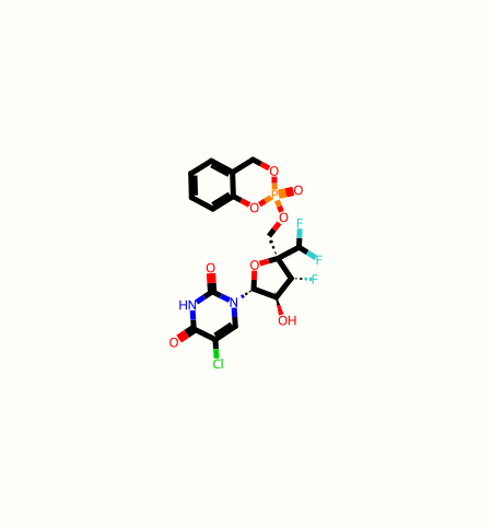 O=c1[nH]c(=O)n([C@@H]2O[C@@](COP3(=O)OCc4ccccc4O3)(C(F)F)[C@H](F)[C@H]2O)cc1Cl